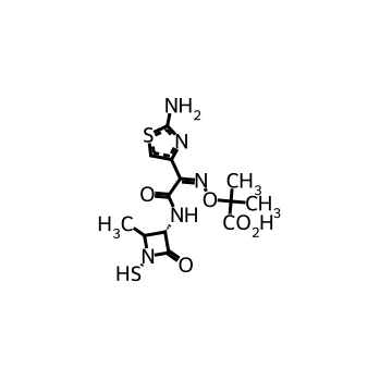 CC1[C@H](NC(=O)/C(=N\OC(C)(C)C(=O)O)c2csc(N)n2)C(=O)N1S